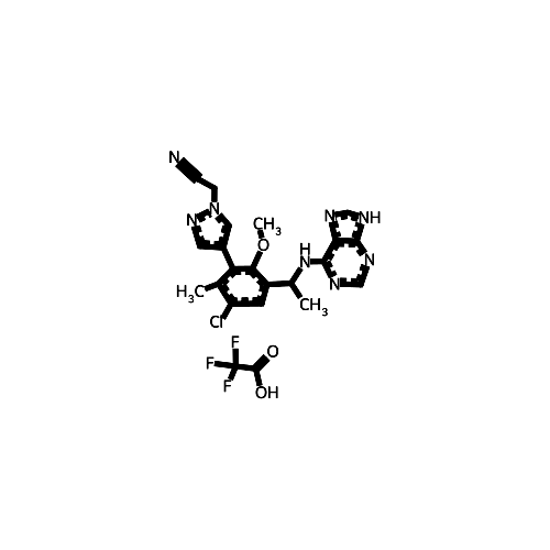 COc1c(C(C)Nc2ncnc3[nH]cnc23)cc(Cl)c(C)c1-c1cnn(CC#N)c1.O=C(O)C(F)(F)F